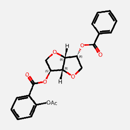 CC(=O)Oc1ccccc1C(=O)O[C@H]1CO[C@H]2[C@@H]1OC[C@H]2OC(=O)c1ccccc1